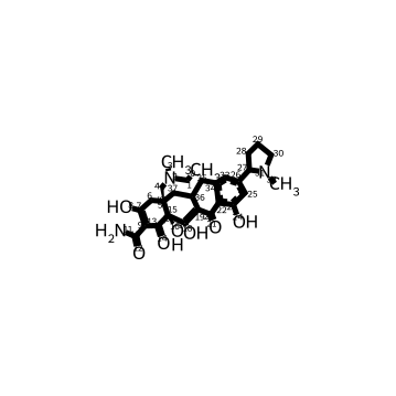 CCN(C)C[C@]12CC(O)=C(C(N)=O)C(=O)[C@@]1(O)C(O)=C1C(=O)c3c(O)cc(C4CCCN4C)cc3CC1C2